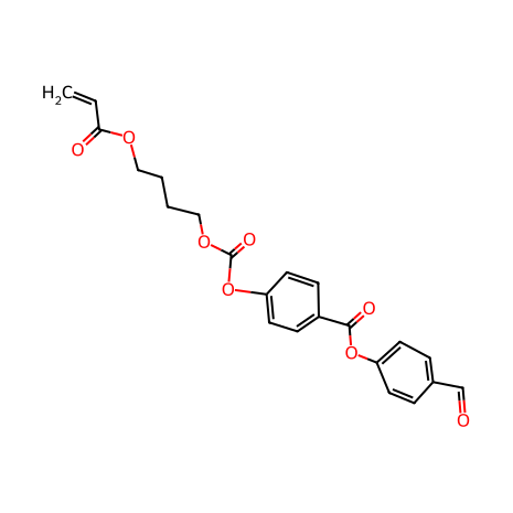 C=CC(=O)OCCCCOC(=O)Oc1ccc(C(=O)Oc2ccc(C=O)cc2)cc1